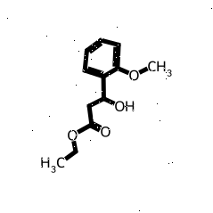 CCOC(=O)CC(O)c1ccccc1OC